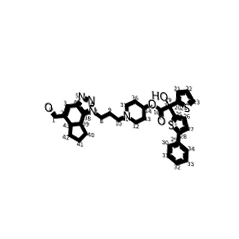 O=CC1=Cc2nnn(CCCN3CCC(OC(=O)[C@@](O)(c4cccs4)c4ccc(-c5ccccc5)s4)CC3)c2C2CCCC12